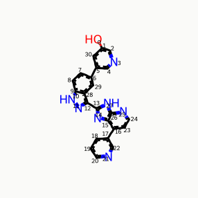 Oc1cncc(-c2ccc3[nH]nc(-c4nc5c(-c6cccnc6)ccnc5[nH]4)c3c2)c1